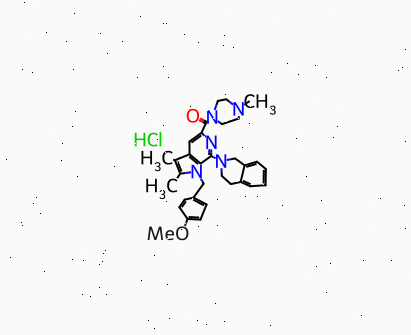 COc1ccc(Cn2c(C)c(C)c3cc(C(=O)N4CCN(C)CC4)nc(N4CCc5ccccc5C4)c32)cc1.Cl